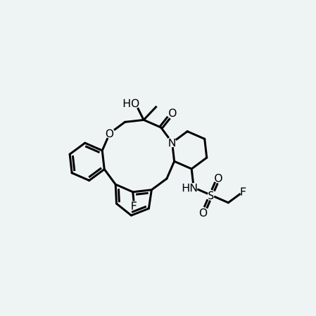 CC1(O)COc2ccccc2-c2cccc(c2F)CC2C(NS(=O)(=O)CF)CCCN2C1=O